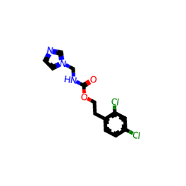 O=C(NCn1ccnc1)OCCc1ccc(Cl)cc1Cl